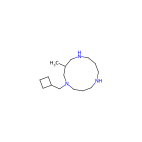 CC1CNCCCNCCCN(CC2CCC2)C1